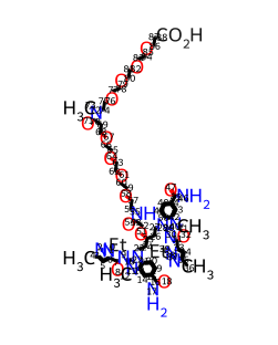 CCn1nc(C)cc1C(=O)/N=c1\n(C)c2cc(C(N)=O)ccc2n1CCC(CCn1/c(=N/C(=O)c2cc(C)nn2CC)n(C)c2cc(C(N)=O)ccc21)OCC(=O)NCCOCCOCCOCCOCCC(=O)N(C)CCOCCOCCOCCOCCC(=O)O